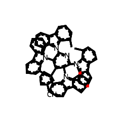 Cc1cccc2c3cccc(C)c3n(-c3nc(-n4c5c(C)cccc5c5cccc(C)c54)c(-n4c5c(C)cccc5c5cccc(C)c54)c(-c4cccc(C#N)c4)c3-n3c4c(C)cccc4c4cccc(C)c43)c12